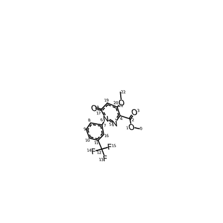 COC(=O)c1nn(-c2cccc(C(F)(F)F)c2)c(=O)cc1OC